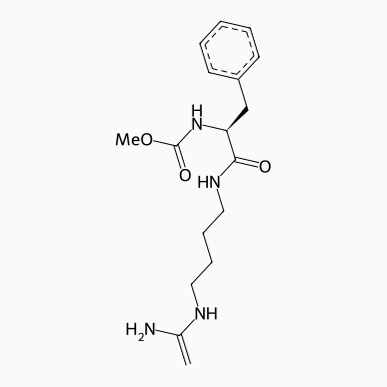 C=C(N)NCCCCNC(=O)[C@H](Cc1ccccc1)NC(=O)OC